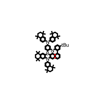 Cc1cc2c3c(c1)N(c1ccc(C(C)(C)C)cc1-c1ccccc1)c1cc(N(c4ccc5c(c4)C(C)(C)CCC5(C)C)c4ccc5c(c4)C(C)(C)CCC5(C)C)ccc1B3c1cc3c(cc1N2c1ccc2c(c1)C(C)(C)CCC2(C)C)C(C)(C)CCC3(C)C